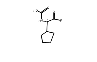 O=C(O)N[C@H](C(=O)F)C1CCCC1